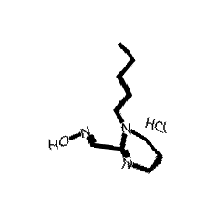 CCCCCN1CCCN=C1C=NO.Cl